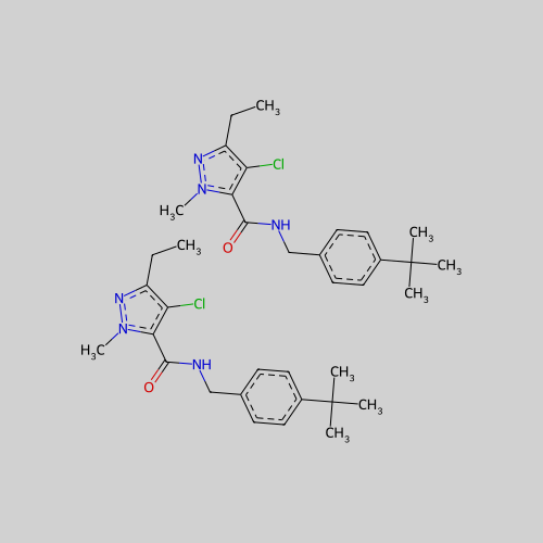 CCc1nn(C)c(C(=O)NCc2ccc(C(C)(C)C)cc2)c1Cl.CCc1nn(C)c(C(=O)NCc2ccc(C(C)(C)C)cc2)c1Cl